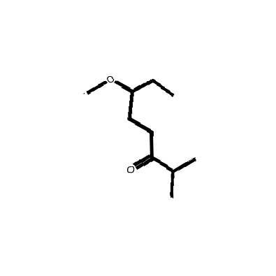 [CH2]OC(CC)CCC(=O)C(C)C